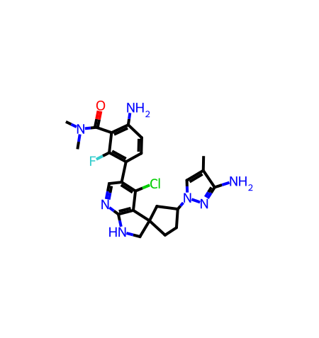 Cc1cn(C2CCC3(CNc4ncc(-c5ccc(N)c(C(=O)N(C)C)c5F)c(Cl)c43)C2)nc1N